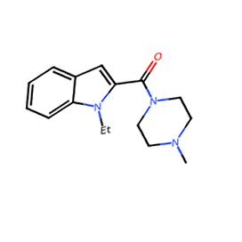 CCn1c(C(=O)N2CCN(C)CC2)cc2ccccc21